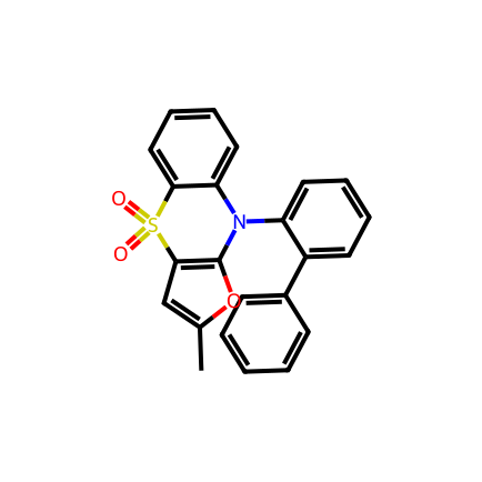 Cc1cc2c(o1)N(c1ccccc1-c1ccccc1)c1ccccc1S2(=O)=O